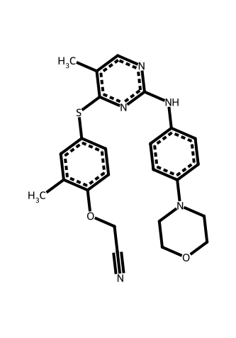 Cc1cc(Sc2nc(Nc3ccc(N4CCOCC4)cc3)ncc2C)ccc1OCC#N